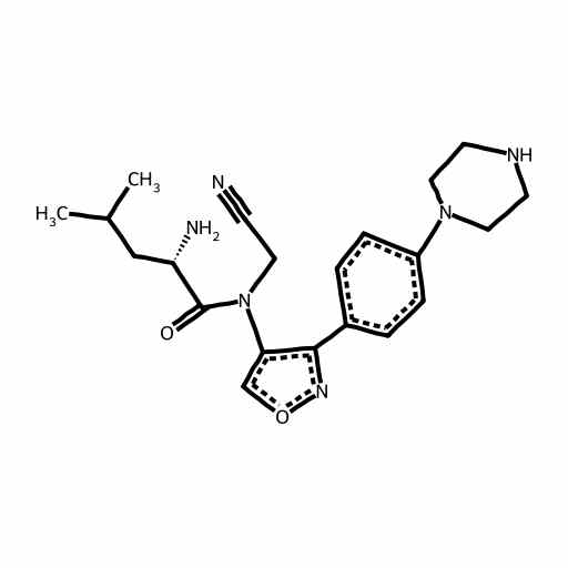 CC(C)C[C@H](N)C(=O)N(CC#N)c1conc1-c1ccc(N2CCNCC2)cc1